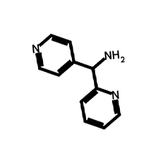 NC(c1ccncc1)c1ccccn1